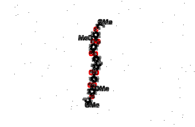 COc1cc(OCCC(C)OC)ccc1C(=O)Oc1ccc(C(=O)Oc2ccc(-c3ccc(OC(=O)c4ccc(OC(=O)c5ccc(OCCC(C)OC)cc5OC)cc4)cc3C)cc2)cc1